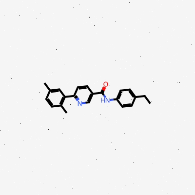 CCc1ccc(NC(=O)c2ccc(-c3cc(C)ccc3C)nc2)cc1